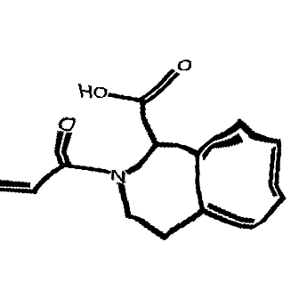 C=CC(=O)N1CCc2ccccc2C1C(=O)O